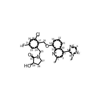 Cc1cc(-c2ncnn2C)c2cccc(OCc3c(Cl)cc(F)cc3CN3CCC(O)C3=O)c2n1